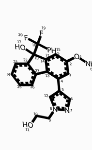 NOc1cc(-c2cnn(CCO)c2)c2c(c1)C(O)(C(F)(F)P)c1ccccc1-2